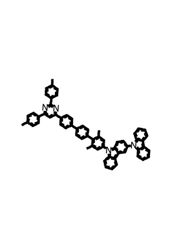 Cc1ccc(-c2cc(-c3ccc(-c4ccc(-c5c(C)cc(-n6c7ccccc7c7cc(-n8c9ccccc9c9ccccc98)ccc76)cc5C)cc4)cc3)nc(-c3ccc(C)cc3)n2)cc1